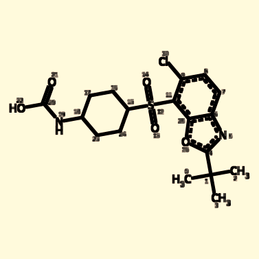 CC(C)(C)c1nc2ccc(Cl)c(S(=O)(=O)C3CCC(NC(=O)O)CC3)c2o1